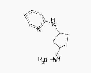 BNC1CCC(Nc2ccccn2)C1